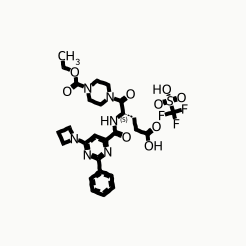 CCOC(=O)N1CCN(C(=O)[C@H](CCC(=O)O)NC(=O)c2cc(N3CCC3)nc(-c3ccccc3)n2)CC1.O=S(=O)(O)C(F)(F)F